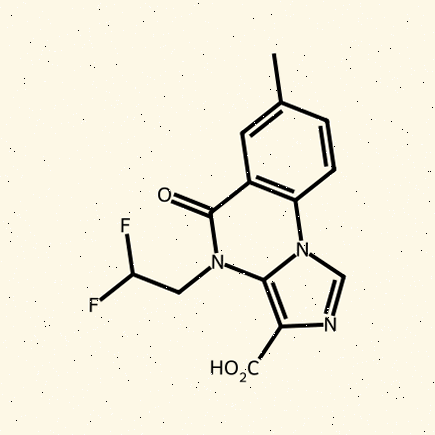 Cc1ccc2c(c1)c(=O)n(CC(F)F)c1c(C(=O)O)ncn21